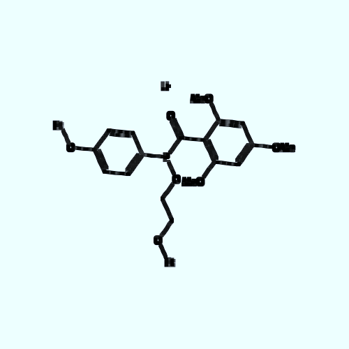 CCOCCOP(C(=O)c1c(OC)cc(OC)cc1OC)c1ccc(OCC)cc1.[Li]